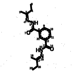 CC/C(C)=N\NC(=O)c1cccc(C(=O)N/N=C(\C)CC)c1